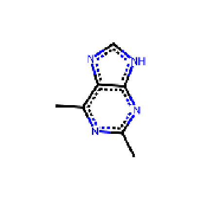 Cc1nc(C)c2nc[nH]c2n1